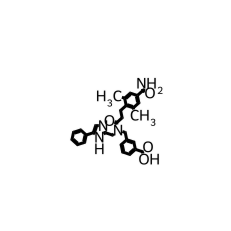 Cc1cc(C(N)=O)cc(C)c1CCC(=O)N(Cc1cccc(C(=O)O)c1)Cc1ncc(-c2ccccc2)[nH]1